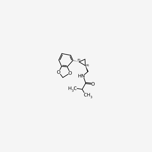 CC(C)C(=O)NC[C@@H]1C[C@H]1c1cccc2c1OCO2